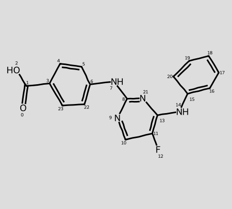 O=C(O)c1ccc(Nc2ncc(F)c(Nc3ccccc3)n2)cc1